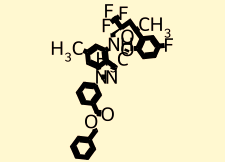 COc1ccc(F)cc1C1(C)C[C@@](CNc2cc(C)cc3c2cnn3-c2cccc(C(=O)OCc3ccccc3)c2)(C(F)(F)F)O1